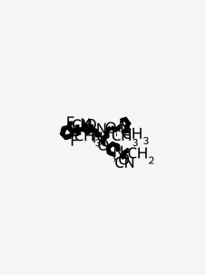 C=CC(=O)N1CC[C@H](Oc2cc(O[C@@H](C)[C@@H]3CCCN3C)nc(-c3cc(C(C)(C)c4c(F)cccc4F)no3)n2)C[C@H]1CC#N